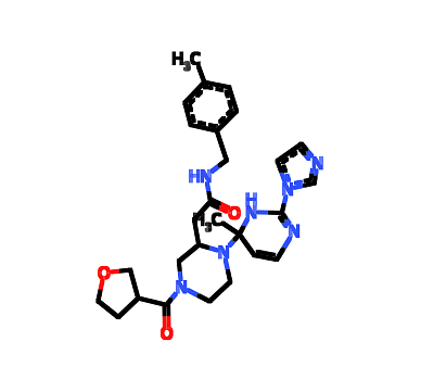 Cc1ccc(CNC(=O)CC2CN(C(=O)C3CCOC3)CCN2C2(C)C=CN=C(n3ccnc3)N2)cc1